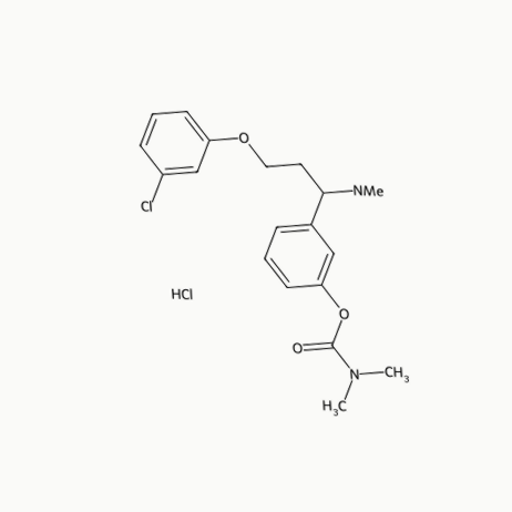 CNC(CCOc1cccc(Cl)c1)c1cccc(OC(=O)N(C)C)c1.Cl